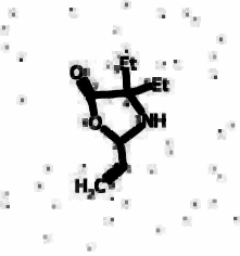 C=CC1NC(CC)(CC)C(=O)O1